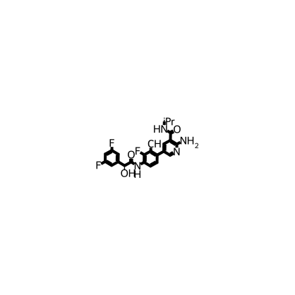 Cc1c(-c2cnc(N)c(C(=O)NC(C)C)c2)ccc(NC(=O)[C@H](O)c2cc(F)cc(F)c2)c1F